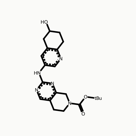 CC(C)(C)OC(=O)N1CCc2cnc(Nc3cnc4c(c3)CC(O)CC4)nc2C1